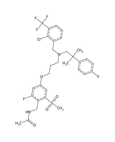 CC(=O)NCc1c(F)cc(OCCCN(Cc2cccc(C(F)(F)F)c2Cl)CC(C)(C)c2ccc(F)cc2)cc1S(C)(=O)=O